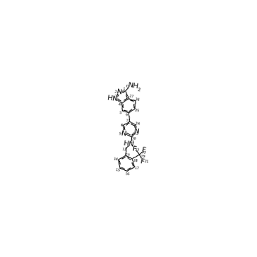 Nc1n[nH]c2cc(-c3cnc(NCc4ccccc4C(F)(F)F)nc3)ccc12